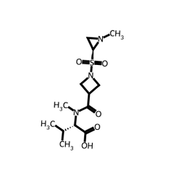 CC(C)[C@@H](C(=O)O)N(C)C(=O)C1CN(S(=O)(=O)[C@H]2CN2C)C1